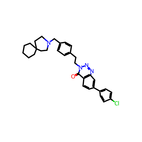 O=c1c2ccc(-c3ccc(Cl)cc3)cc2nnn1CCc1ccc(CN2CCC3(CCCCC3)CC2)cc1